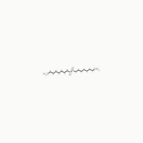 CCCCCCCCPPCCCCCCCC